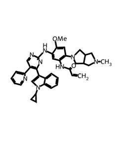 C=CC(=O)Nc1cc(Nc2ncc(-c3ccccn3)c(-c3cn(C4CC4)c4ccccc34)n2)c(OC)cc1N1CC2CN(C)CC2C1